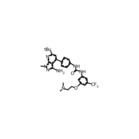 CN(C)CCOc1cc(NC(=O)Nc2ccc(-c3cc(C(C)(C)C)nc4c3c(N)nn4C)cc2)cc(C(F)(F)F)c1